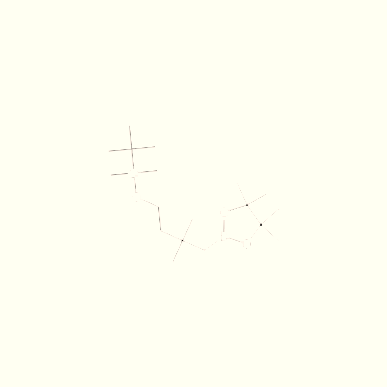 CC(C)(CCO[Si](C)(C)C(C)(C)C)CB1OC(C)(C)C(C)(C)O1